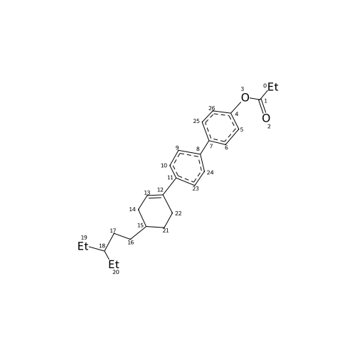 CCC(=O)Oc1ccc(-c2ccc(C3=CCC(CCC(CC)CC)CC3)cc2)cc1